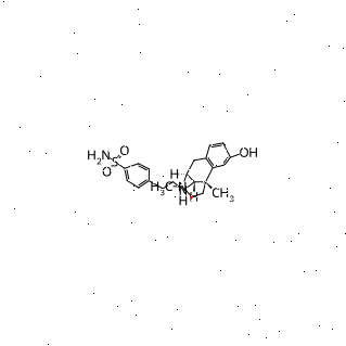 CN1CC[C@@]2(C)c3cc(O)ccc3C[C@H]1[C@H]2NCCc1ccc(S(N)(=O)=O)cc1